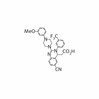 COc1cccc(N2CCN(C3=Nc4ccc(C#N)cc4C(CC(=O)O)N3c3cccc(C(F)(F)F)c3)CC2)c1